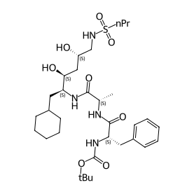 CCCS(=O)(=O)NC[C@@H](O)C[C@H](O)[C@H](CC1CCCCC1)NC(=O)[C@H](C)NC(=O)[C@H](Cc1ccccc1)NC(=O)OC(C)(C)C